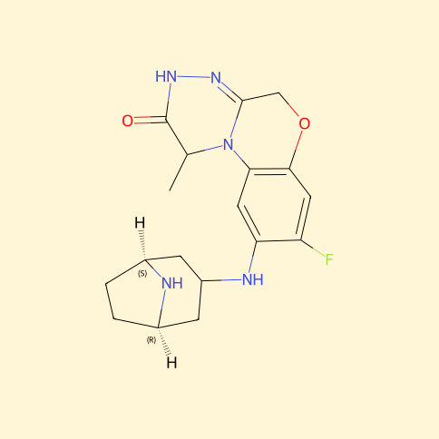 CC1C(=O)NN=C2COc3cc(F)c(NC4C[C@H]5CC[C@@H](C4)N5)cc3N21